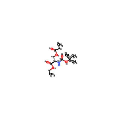 CCOC(=O)[C@H](COC(=O)CC)NC(=O)OC(C)(C)C